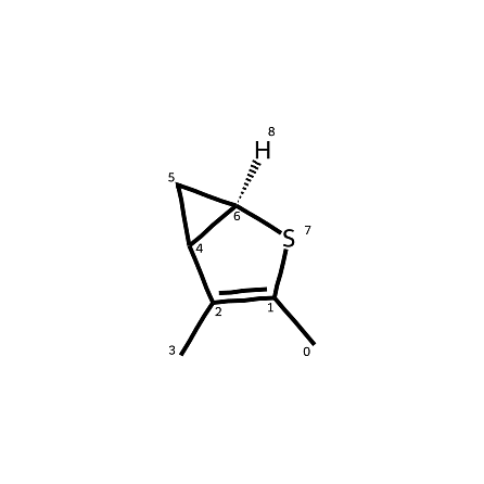 CC1=C(C)C2C[C@H]2S1